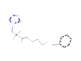 CC(C)(Cn1cnnc1)C(O)CCCCOCc1ccccc1